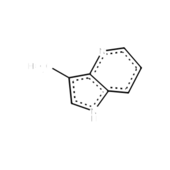 O=C(O)c1c[nH]c2cccnc12